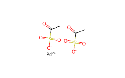 CC(=O)S(=O)(=O)[O-].CC(=O)S(=O)(=O)[O-].[Pd+2]